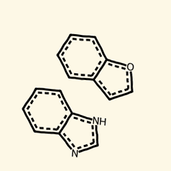 c1ccc2[nH]cnc2c1.c1ccc2occc2c1